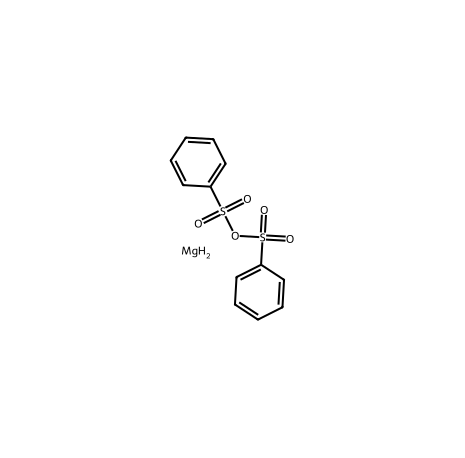 O=S(=O)(OS(=O)(=O)c1ccccc1)c1ccccc1.[MgH2]